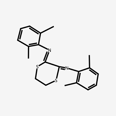 Cc1cccc(C)c1N=C1SCCSC1=Nc1c(C)cccc1C